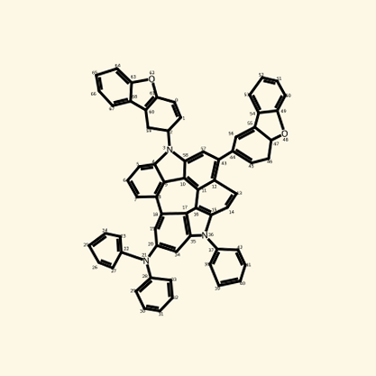 C1=CC(n2c3cccc4c3c3c5c(ccc6c5c5c-4cc(N(c4ccccc4)c4ccccc4)cc5n6-c4ccccc4)c(C4=CCC5Oc6ccccc6C5=C4)cc32)Cc2c1oc1ccccc21